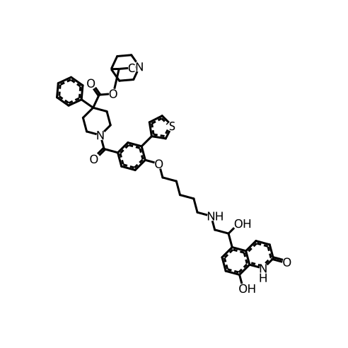 O=C(c1ccc(OCCCCCNCC(O)c2ccc(O)c3[nH]c(=O)ccc23)c(-c2ccsc2)c1)N1CCC(C(=O)OC2CN3CCC2CC3)(c2ccccc2)CC1